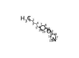 CCCCCCc1ccc(COCC2CC[N]CC2)cc1